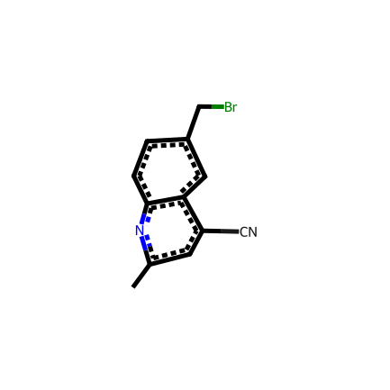 Cc1cc(C#N)c2cc(CBr)ccc2n1